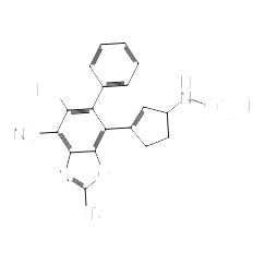 Cc1c(-c2ccccc2)c(C2=CC(NC(=O)O)CC2)c2oc(C(C)(C)C)nc2c1C#N